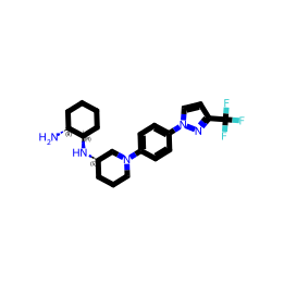 N[C@@H]1CCCC[C@H]1N[C@H]1CCCN(c2ccc(-n3ccc(C(F)(F)F)n3)cc2)C1